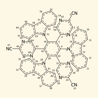 N#Cc1cnc(-c2c(-n3c4ccccc4c4ccccc43)c(-c3cnc(C#N)cn3)c(-n3c4ccccc4c4ccccc43)c(-c3cnc(C#N)cn3)c2-n2c3ccccc3c3ccccc32)cn1